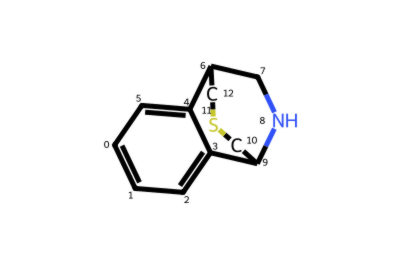 c1ccc2c(c1)C1CNC2CSC1